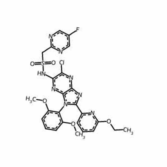 CCOc1cccc(-c2nc3nc(Cl)c(NS(=O)(=O)Cc4ncc(F)cn4)nc3n2-c2c(OC)cccc2OC)n1